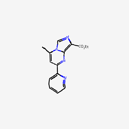 CCOC(=O)c1ncn2c(C)cc(-c3ccccn3)nc12